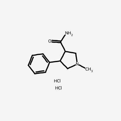 CN1CC(C(N)=O)C(c2ccccc2)C1.Cl.Cl